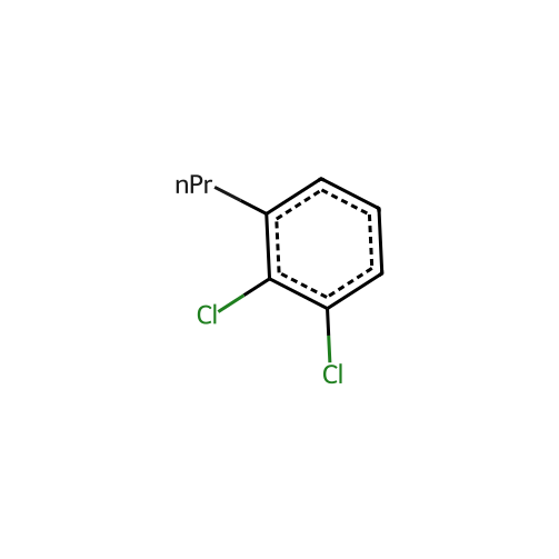 [CH2]CCc1cccc(Cl)c1Cl